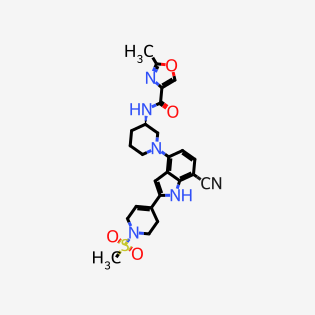 Cc1nc(C(=O)N[C@@H]2CCCN(c3ccc(C#N)c4[nH]c(C5=CCN(S(C)(=O)=O)CC5)cc34)C2)co1